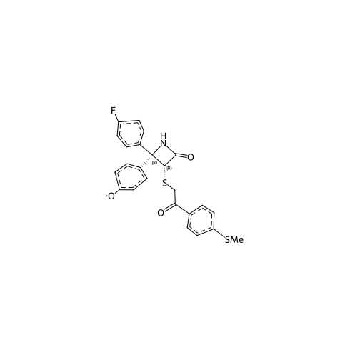 CSc1ccc(C(=O)CS[C@H]2C(=O)N[C@]2(c2ccc([O])cc2)c2ccc(F)cc2)cc1